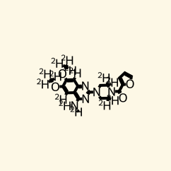 [2H]c1c(OC([2H])([2H])[2H])c(OC([2H])([2H])[2H])c([2H])c2c(N([2H])[2H])nc(N3CC([2H])([2H])N(C(=O)c4ccco4)C([2H])([2H])C3)nc12